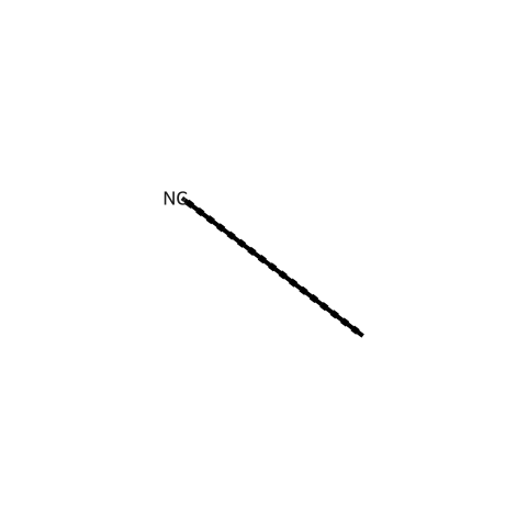 CC#CC#CC#CC#CC#CC#CC#CC#CC#CC#CC#CC#CC#CC#CC#CC#CC#CC#N